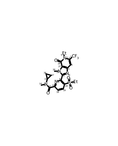 CCn1c(C(F)(F)F)cc2nc(-c3nc(C(=O)N(C)C4CC4)ccc3S(=O)(=O)CC)n(C)c2c1=O